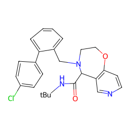 CC(C)(C)NC(=O)C1c2cnccc2OCCN1Cc1ccccc1-c1ccc(Cl)cc1